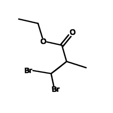 CCOC(=O)C(C)C(Br)Br